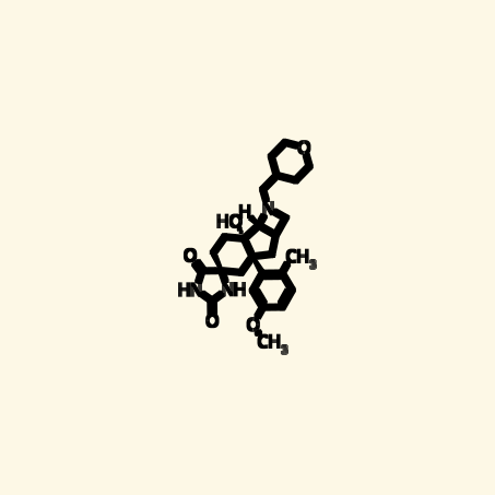 COc1ccc(C)c([C@]23CC4CN(CC5CCOCC5)[C@H]4[C@]2(O)CC[C@@]2(C3)NC(=O)NC2=O)c1